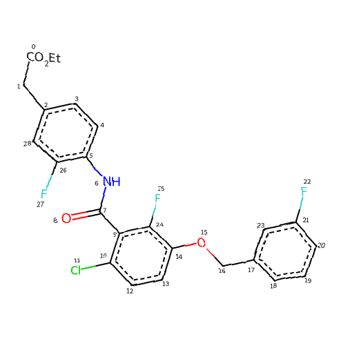 CCOC(=O)Cc1ccc(NC(=O)c2c(Cl)ccc(OCc3cccc(F)c3)c2F)c(F)c1